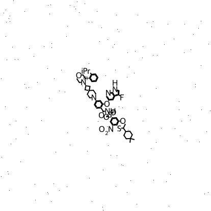 CC(C)c1ccccc1[C@@H]1COCCN1C1CC2(CCN(c3ccc(C(=O)NS(=O)(=O)c4cc5c(c([N+](=O)[O-])c4)SC(C4CCC(C)(C)CC4)CO5)c(Oc4cnc5[nH]cc(F)c5c4)c3)CC2)C1